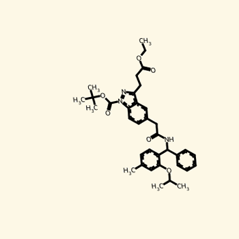 CCOC(=O)CCc1nn(C(=O)OC(C)(C)C)c2ccc(CC(=O)NC(c3ccccc3)c3ccc(C)cc3OC(C)C)cc12